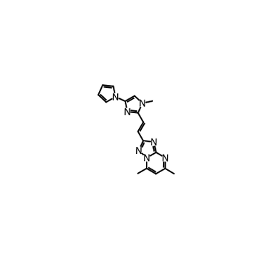 Cc1cc(C)n2nc(/C=C/c3nc(-n4cccc4)cn3C)nc2n1